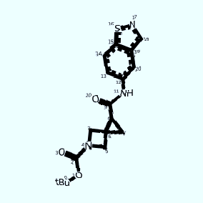 CC(C)(C)OC(=O)N1CC2(CC2C(=O)Nc2ccc3sncc3c2)C1